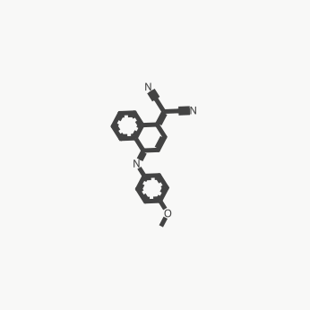 COc1ccc(N=C2C=CC(=C(C#N)C#N)c3ccccc32)cc1